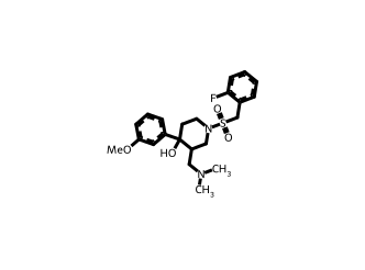 COc1cccc(C2(O)CCN(S(=O)(=O)Cc3ccccc3F)CC2CN(C)C)c1